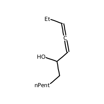 CCC=C=CC(O)CCCCCC